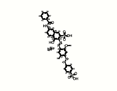 COc1cc(N=Nc2ccc(S(=O)(=O)O)cc2)c(C)cc1N=Nc1c(S(=O)(=O)O)cc2cc(NC(=O)c3ccccc3)ccc2c1O.[Na].[Na]